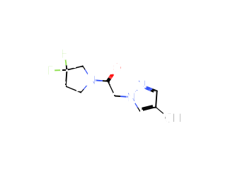 Cc1cnn(CC(=O)N2CCC(F)(F)C2)c1